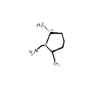 CC1CC[C@@H](C)N1N